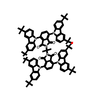 CC(C)(C)c1ccc2c(c1)c1cc(C(C)(C)C)ccc1n2-c1ccc(-n2c3ccc(C(C)(C)C)cc3c3cc(C(C)(C)C)ccc32)c2c1C(=O)N(C(C)(C)N1C(=O)c3c(-n4c5ccc(C(C)(C)C)cc5c5cc(C(C)(C)C)ccc54)ccc(-n4c5ccc(C(C)(C)C)cc5c5cc(C(C)(C)C)ccc54)c3C1=O)C2=O